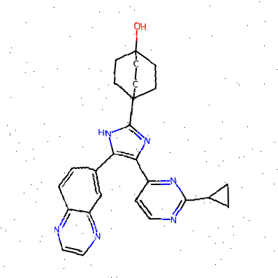 OC12CCC(c3nc(-c4ccnc(C5CC5)n4)c(-c4ccc5nccnc5c4)[nH]3)(CC1)CC2